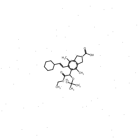 CCOC(=O)C(OC(C)(C)C)c1c(C)c2c(c(C)c1C=CC1CCCCC1)CN(C(=O)O)C2